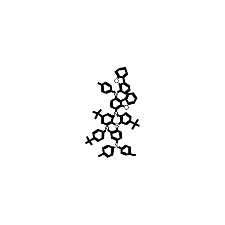 Cc1ccc(N(c2ccc(C)cc2)c2ccc3c(c2)N(c2ccc(C(C)(C)C)cc2)c2cc(C(C)(C)C)cc4c2B3c2cc(C(C)(C)C)ccc2N4c2ccc(N(c3ccc(C)cc3)c3cccc4c3oc3ccccc34)c3c2oc2ccccc23)cc1